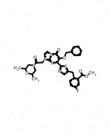 COC(=O)c1cc(F)ccc1Cc1cnc(-c2nc3n(CC(=O)N4CC(C)OC(C)C4)ccn3c(=O)c2OCc2ccccc2)s1